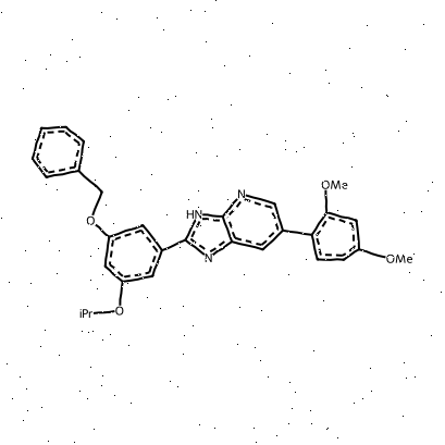 COc1ccc(-c2cnc3[nH]c(-c4cc(OCc5ccccc5)cc(OC(C)C)c4)nc3c2)c(OC)c1